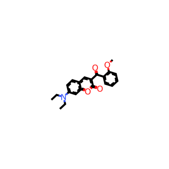 CCN(CC)c1ccc2cc(C(=O)c3ccccc3OC)c(=O)oc2c1